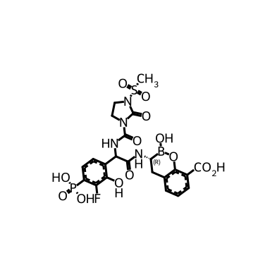 CS(=O)(=O)N1CCN(C(=O)NC(C(=O)N[C@H]2Cc3cccc(C(=O)O)c3OB2O)c2ccc(P(=O)(O)O)c(F)c2O)C1=O